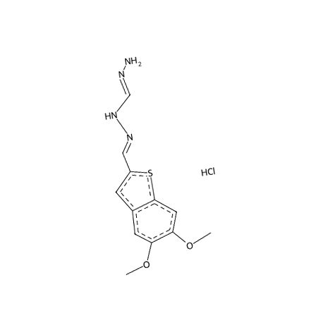 COc1cc2cc(C=NNC=NN)sc2cc1OC.Cl